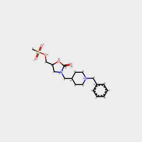 CS(=O)(=O)OCC1CN(CC2CCN(Cc3ccccc3)CC2)C(=O)O1